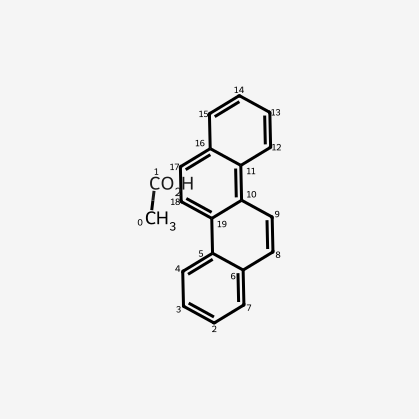 CC(=O)O.c1ccc2c(c1)ccc1c3ccccc3ccc21